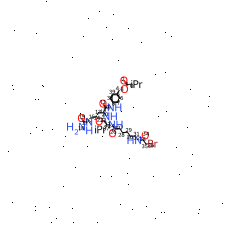 CC(C)C(=O)OCc1ccc(NC(=O)[C@H](CCCNC(N)=O)NC(=O)[C@@H](NC(=O)CCCCCNC(=O)CBr)C(C)C)cc1